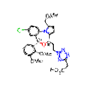 COCc1ccc2n1-c1ccc(Cl)cc1[C@@H](c1cccc(OC)c1OC)O[C@@H]2CCn1nnc(CC(=O)O)n1